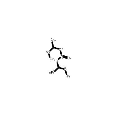 CCCC(OC(C)C)O[N+](=O)OC(CCC)OC(C)C